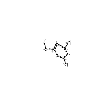 Clc1cc(Cl)cc(SI)c1